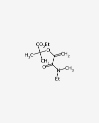 C=C(OC(C)(C)C(=O)OCC)C(=O)N(C)CC